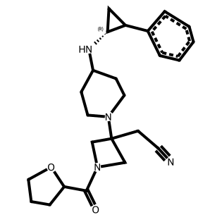 N#CCC1(N2CCC(N[C@@H]3CC3c3ccccc3)CC2)CN(C(=O)C2CCCO2)C1